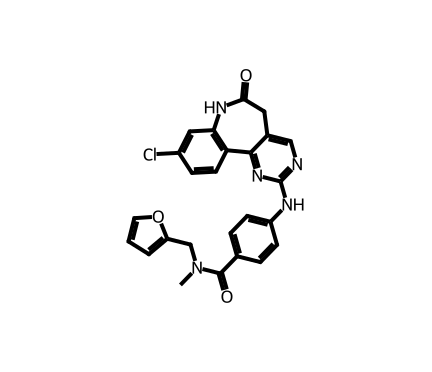 CN(Cc1ccco1)C(=O)c1ccc(Nc2ncc3c(n2)-c2ccc(Cl)cc2NC(=O)C3)cc1